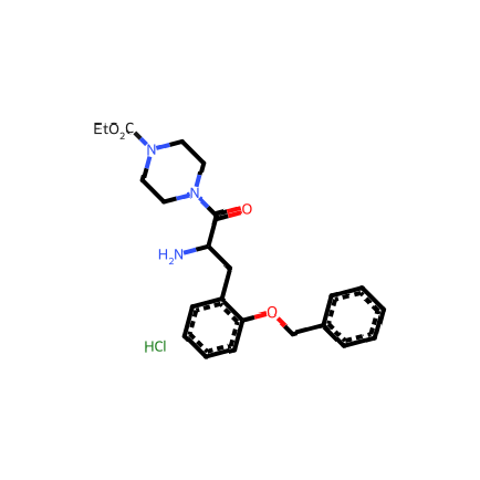 CCOC(=O)N1CCN(C(=O)C(N)Cc2ccccc2OCc2ccccc2)CC1.Cl